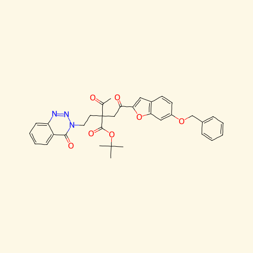 CC(=O)C(CCn1nnc2ccccc2c1=O)(CC(=O)c1cc2ccc(OCc3ccccc3)cc2o1)C(=O)OC(C)(C)C